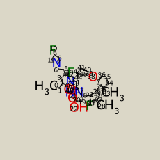 CCc1cc(CCN2CC(F)C2)cn(C2C(=O)NC(CC(=O)O)c3cc(cc(C)c3F)-c3c(C)cccc3Oc3ccc(F)c2c3)c1=O